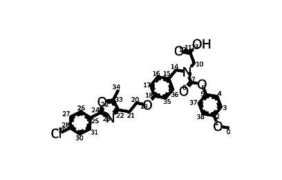 COc1ccc(OC(=O)N(CC(=O)O)Cc2ccc(OCCc3nc(-c4ccc(Cl)cc4)oc3C)cc2)cc1